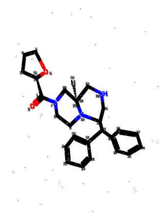 O=C([C@H]1CCCO1)N1CCN2C(C(c3ccccc3)c3ccccc3)CNC[C@@H]2C1